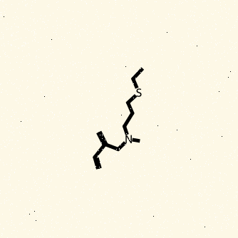 C=CC(=C)CN(C)CCCSCC